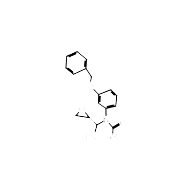 CC([C@H]1CO1)N(C(=O)O)c1cccc(OCc2ccccc2)c1